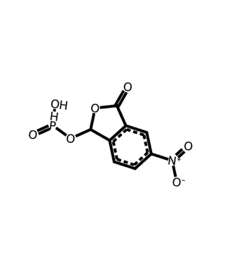 O=C1OC(O[PH](=O)O)c2ccc([N+](=O)[O-])cc21